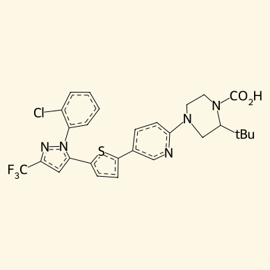 CC(C)(C)C1CN(c2ccc(-c3ccc(-c4cc(C(F)(F)F)nn4-c4ccccc4Cl)s3)cn2)CCN1C(=O)O